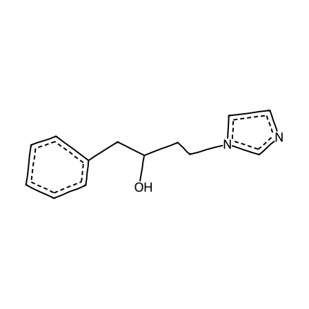 OC(CCn1ccnc1)Cc1ccccc1